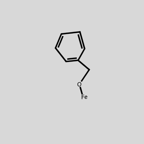 [Fe][O]Cc1ccccc1